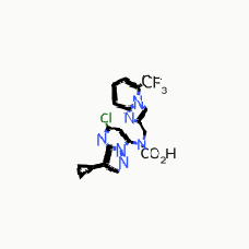 O=C(O)N(Cc1cn2c(C(F)(F)F)cccc2n1)c1cc(Cl)nc2c(C3CC3)cnn12